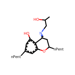 CCCCCc1cc(O)c2c(c1)OC(CCCCC)CC2=NCC(C)O